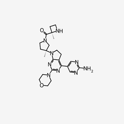 C[C@]1(N2CCc3c(-c4cnc(N)nc4)nc(N4CCOCC4)nc32)CCN(C(=O)[C@@]2(C)CCN2)C1